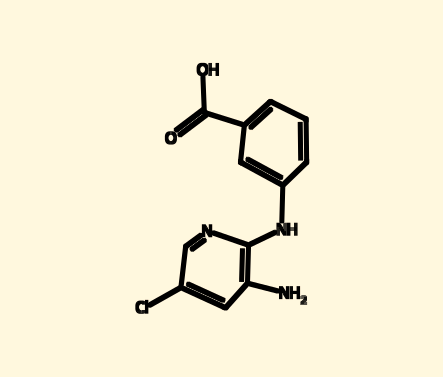 Nc1cc(Cl)cnc1Nc1cccc(C(=O)O)c1